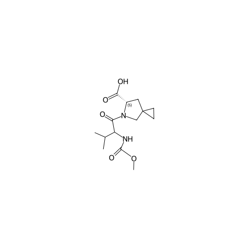 COC(=O)NC(C(=O)N1CC2(CC2)C[C@H]1C(=O)O)C(C)C